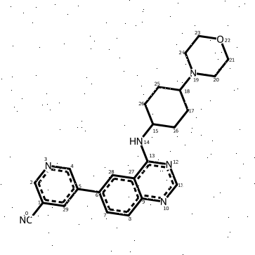 N#Cc1cncc(-c2ccc3ncnc(NC4CCC(N5CCOCC5)CC4)c3c2)c1